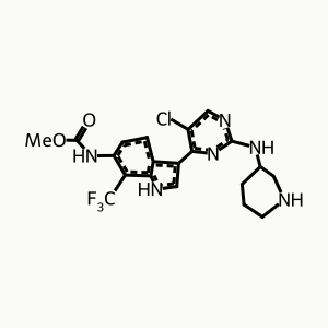 COC(=O)Nc1ccc2c(-c3nc(NC4CCCNC4)ncc3Cl)c[nH]c2c1C(F)(F)F